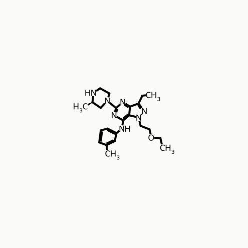 CCOCCn1nc(CC)c2nc(N3CCN[C@H](C)C3)nc(Nc3cccc(C)c3)c21